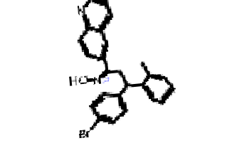 Cc1ccccc1C(C/C(=N/O)c1ccc2ncccc2c1)c1ccc(Br)cc1